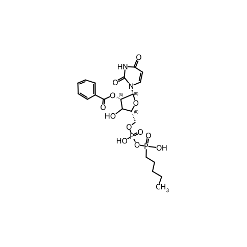 CCCCCP(=O)(O)OP(=O)(O)OC[C@H]1O[C@@H](n2ccc(=O)[nH]c2=O)[C@@H](OC(=O)c2ccccc2)C1O